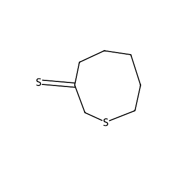 S=C1CCCCCSC1